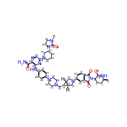 C=C1CCC(N2C(=O)c3ccc(N4C[C@@H]5[C@@H](CN6CCN(c7ccc(Nc8nc(N9CCC[C@@H](N%10CCN(C)C%10=O)C9)cnc8C(N)=O)cc7)CC6)[C@@H]5C4)cc3C2=O)C(=O)N1